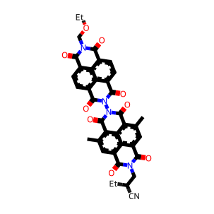 CCOCN1C(=O)c2ccc3c4c(ccc(c24)C1=O)C(=O)N(N1C(=O)c2c(C)cc4c5c(cc(C)c(c25)C1=O)C(=O)N(CC(C#N)CC)C4=O)C3=O